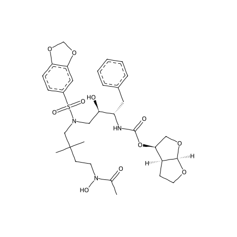 CC(=O)N(O)CCC(C)(C)CN(C[C@@H](O)[C@H](Cc1ccccc1)NC(=O)O[C@H]1CO[C@H]2OCC[C@H]21)S(=O)(=O)c1ccc2c(c1)OCO2